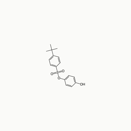 CC(C)(C)c1ccc(S(=O)(=O)Oc2ccc(O)cc2)cc1